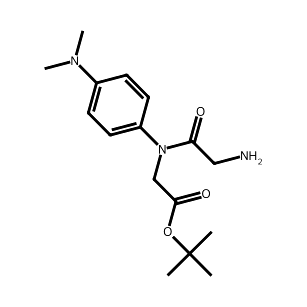 CN(C)c1ccc(N(CC(=O)OC(C)(C)C)C(=O)CN)cc1